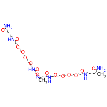 C/C(CCC(=O)NCCOCCOCCOCCOCCC(=O)NCCCCC(C)C(N)=O)=N/OCC(=O)NCCOCCOCCOCCOCCC(=O)NCCCCCC(N)=O